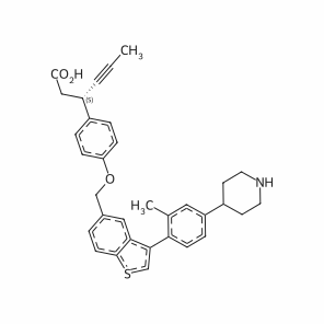 CC#C[C@@H](CC(=O)O)c1ccc(OCc2ccc3scc(-c4ccc(C5CCNCC5)cc4C)c3c2)cc1